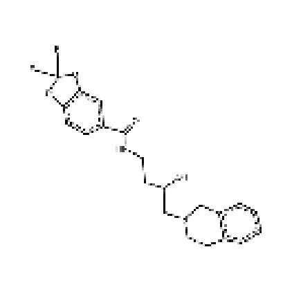 O=C(NCCC(O)CN1CCc2ccccc2C1)c1ccc2c(c1)OC(F)(F)O2